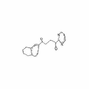 O=C(CCC(=O)c1ncccn1)c1ccc2c(c1)CCCC2